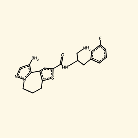 Bc1cnn2c1-c1cc(C(=O)NC(CN)Cc3cccc(F)c3)sc1CCC2